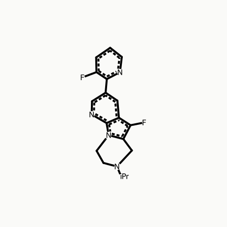 CC(C)N1CCn2c(c(F)c3cc(-c4ncccc4F)cnc32)C1